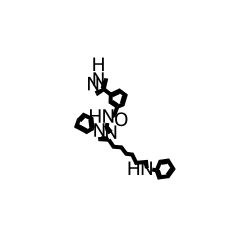 O=C(Nc1nc(CCCCCCNc2ccccc2)cn1-c1ccccc1)c1cccc(-c2cn[nH]c2)c1